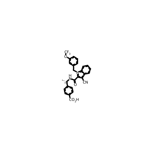 C[C@H](NC(=O)c1c(C#N)c2ccccc2n1Cc1cccc(OC(F)(F)F)c1)c1ccc(C(=O)O)cc1